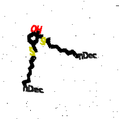 CCCCCCCCCCCCCCCCCCSCC1=CC=C(O)C(C)(CSCCCCCCCCCCCCCCCCCC)C1